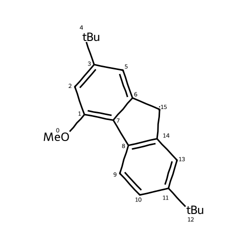 COc1cc(C(C)(C)C)cc2c1-c1ccc(C(C)(C)C)cc1[CH]2